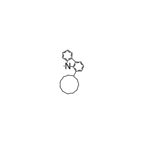 c1ccc2c(c1)[N]c1c-2cccc1C1CCCCCCCCCC1